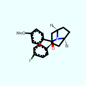 COc1ccc(C(=O)N2[C@@H]3CC[C@H]2C[C@@H](c2ccc(F)cc2)C3)cc1